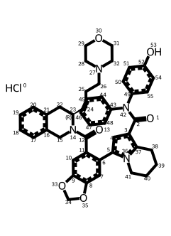 Cl.O=C(c1cc(-c2cc3c(cc2C(=O)N2Cc4ccccc4C[C@H]2CCCN2CCOCC2)OCO3)n2c1CCCC2)N(c1ccccc1)c1ccc(O)cc1